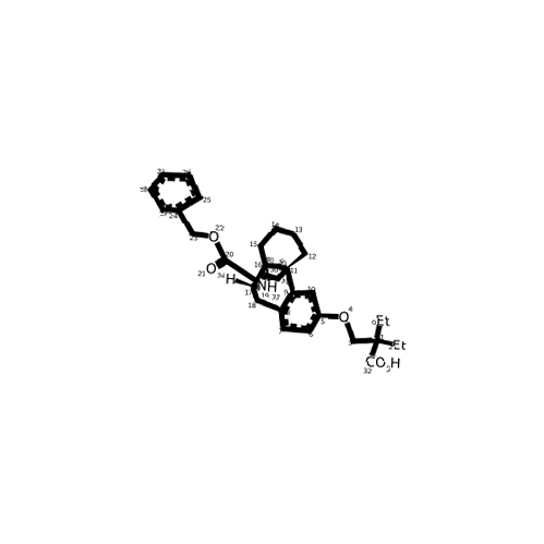 CCC(CC)(COc1ccc2c(c1)[C@@]13CCCC[C@H]1[C@@H](C2)N(C(=O)OCc1ccccc1)CC3)C(=O)O